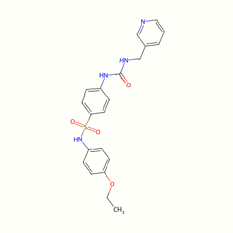 CCOc1ccc(NS(=O)(=O)c2ccc(NC(=O)NCc3cccnc3)cc2)cc1